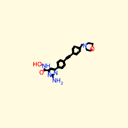 Nc1nc(C(=O)NO)cc(-c2ccc(C#Cc3ccc(CN4CCOCC4)cc3)cc2)n1